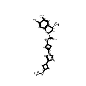 O=C(NC12CC(n3cnc(C4CC(OC(F)(F)F)C4)c3)(C1)C2)[C@H]1C[C@@H](O)c2cc(Cl)c(F)cc2O1